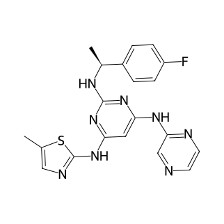 Cc1cnc(Nc2cc(Nc3cnccn3)nc(N[C@@H](C)c3ccc(F)cc3)n2)s1